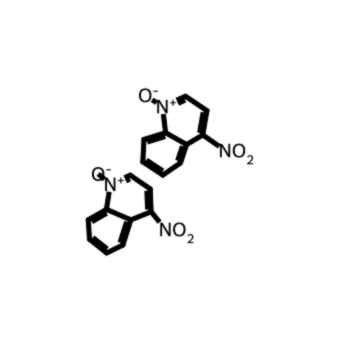 O=[N+]([O-])c1cc[n+]([O-])c2ccccc12.O=[N+]([O-])c1cc[n+]([O-])c2ccccc12